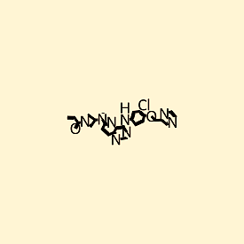 C=CC(=O)N1CC(N(C)c2ccc3ncnc(Nc4ccc(OCc5cnccn5)c(Cl)c4)c3n2)C1